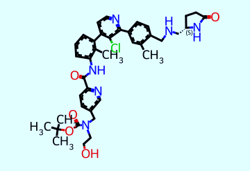 Cc1cc(-c2nccc(-c3cccc(NC(=O)c4ccc(CN(CCO)C(=O)OC(C)(C)C)cn4)c3C)c2Cl)ccc1CNC[C@@H]1CCC(=O)N1